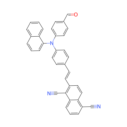 N#Cc1cccc2c(C#N)c(C=Cc3ccc(N(c4ccc(C=O)cc4)c4cccc5ccccc45)cc3)ccc12